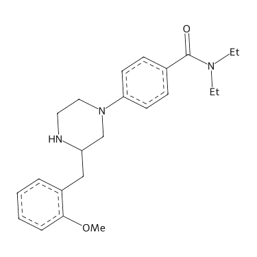 CCN(CC)C(=O)c1ccc(N2CCNC(Cc3ccccc3OC)C2)cc1